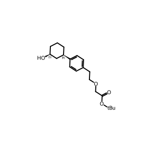 CC(C)(C)OC(=O)COCCc1ccc([C@@H]2CCC[C@H](O)C2)cc1